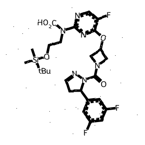 CC(C)(C)[Si](C)(C)OCCN(C(=O)O)c1ncc(F)c(OC2CN(C(=O)N3N=CCC3c3cc(F)cc(F)c3)C2)n1